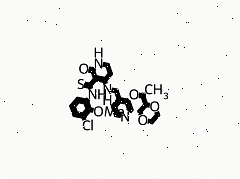 COc1c(Cl)cccc1NC(=S)C1=C(NCc2ccncc2O[C@@H](C)C2COCCO2)CCNC1=O